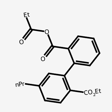 CCCc1ccc(C(=O)OCC)c(-c2ccccc2C(=O)OC(=O)CC)c1